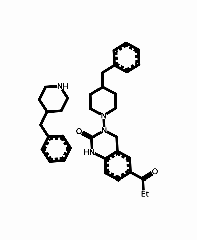 CCC(=O)c1ccc2c(c1)CN(N1CCC(Cc3ccccc3)CC1)C(=O)N2.c1ccc(CC2CCNCC2)cc1